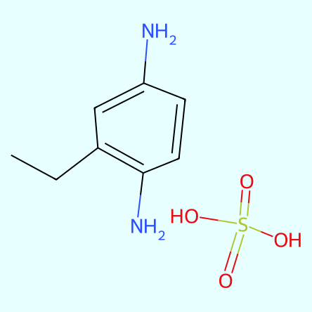 CCc1cc(N)ccc1N.O=S(=O)(O)O